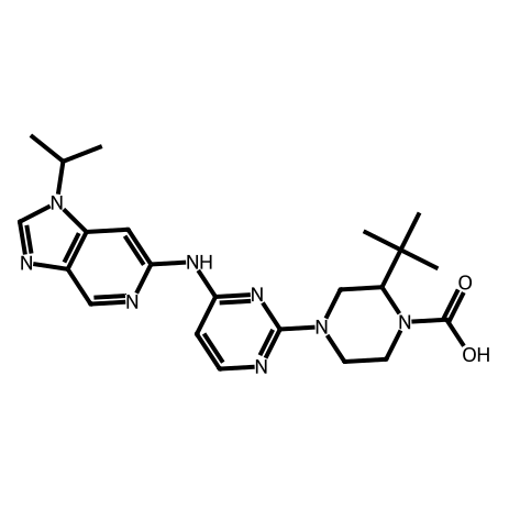 CC(C)n1cnc2cnc(Nc3ccnc(N4CCN(C(=O)O)C(C(C)(C)C)C4)n3)cc21